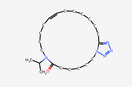 CC(C)N1CCCC/C=C\CCCCCCc2nnnn2CCCCCC1=O